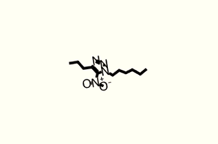 CCCCCCn1nnc(CCC)c1[N+](=O)[O-]